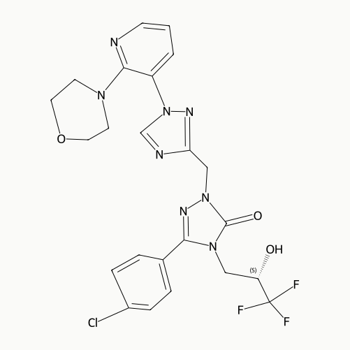 O=c1n(Cc2ncn(-c3cccnc3N3CCOCC3)n2)nc(-c2ccc(Cl)cc2)n1C[C@H](O)C(F)(F)F